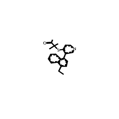 CCc1ccc(-c2cnccc2SC(C)(C)C(C)=O)c2ccccc12